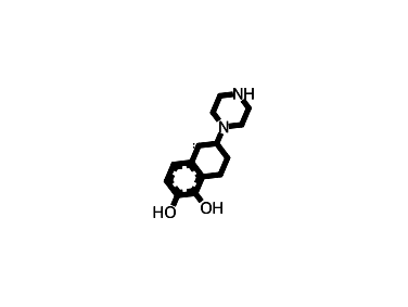 Oc1ccc2c(c1O)CCC(N1CCNCC1)[C]2